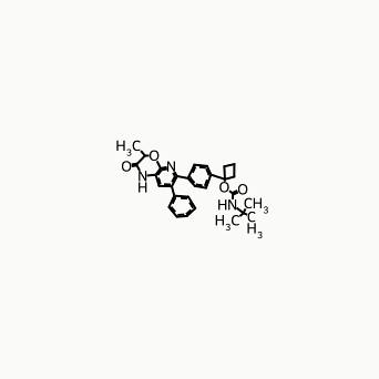 CC1Oc2nc(-c3ccc(C4(OC(=O)NC(C)(C)C)CCC4)cc3)c(-c3ccccc3)cc2NC1=O